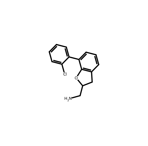 NCC1Cc2cccc(-c3ccccc3Cl)c2O1